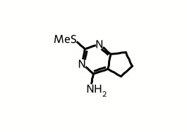 CSc1nc(N)c2c(n1)CCC2